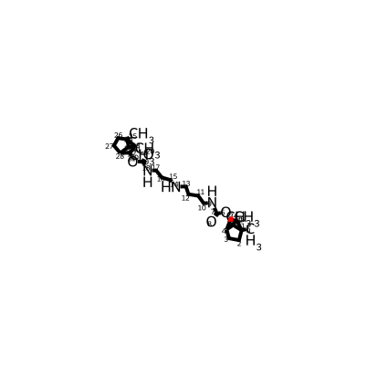 CC12CCC(C(OC(=O)NCCCCNCCCNC(=O)OC3CC4(C)CCC3C4(C)C)C1)C2(C)C